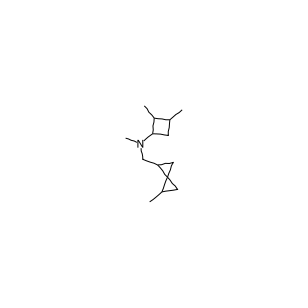 CC1CC(N(C)CC2CC23CC3C)C1C